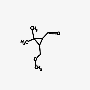 COCC1C(C=O)C1(C)C